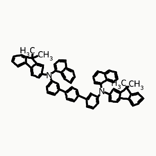 CC1(C)c2ccccc2-c2ccc(N(c3cccc(-c4ccc(-c5cccc(N(c6ccc7c(c6)C(C)(C)c6ccccc6-7)c6cccc7ccccc67)c5)cc4)c3)c3cccc4ccccc34)cc21